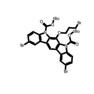 CC(C)(C)OC(=O)n1c2ccc(Br)cc2c2cc3c4cc(Br)ccc4n(C(=O)OC(C)(C)C)c3c(OCCCBr)c21